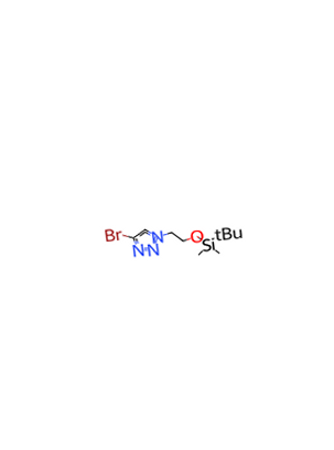 CC(C)(C)[Si](C)(C)OCCn1cc(Br)nn1